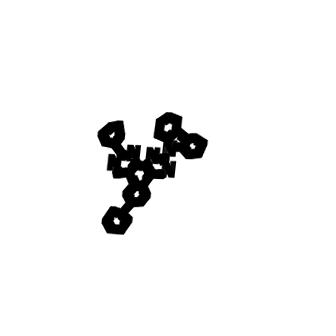 c1ccc(-c2ccc3c(c2)c2cnc(-c4ccccc4)nc2c2nc(-n4c5ccccc5c5ccccc54)ncc32)cc1